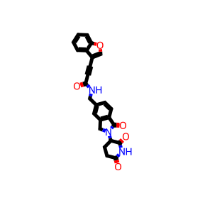 O=C(C#Cc1coc2ccccc12)NCc1ccc2c(c1)CN(C1CCC(=O)NC1=O)C2=O